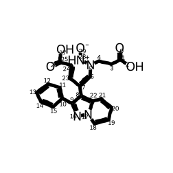 O=C(O)CCN1C=C(c2c(-c3ccccc3)nn3ccccc23)C=C(C(=O)O)[NH+]1[O-]